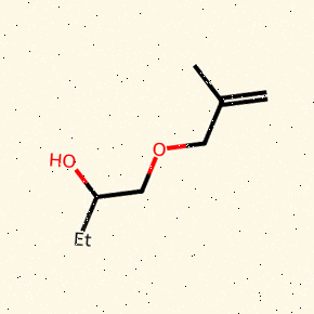 C=C(C)COCC(O)CC